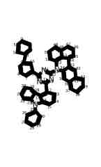 c1ccc(-c2cccc(-c3nc(-c4cccc5c4c4ccccc4n5-c4ccccc4)nc(N4c5cc6ccccc6cc5-c5cccc6cccc4c56)n3)c2)cc1